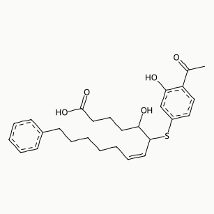 CC(=O)c1ccc(SC(/C=C\CCCCCc2ccccc2)C(O)CCCC(=O)O)cc1O